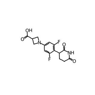 O=C1CCC(c2c(F)cc(N3CC(C(=O)O)C3)cc2F)C(=O)N1